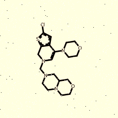 Clc1cc2c(s1)CN(CN1CCN3CCOCC3C1)C=C2N1CCOCC1